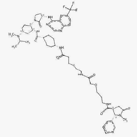 CC(C)N(C)[C@@H]1CC[C@H](N2CC[C@H](Nc3ncnc4ccc(C(F)(F)F)cc34)C2=O)[C@H](NC(=O)[C@H]2CC[C@@H](NC(=O)CCOCCNC(=O)COCCCNC(=O)[C@H]3CC(=O)N(C)[C@@H]3c3cccnc3)CC2)C1